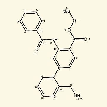 CC(C)(C)OOC(=O)c1ccc(-c2ccccc2CN)cc1NC(=O)c1ccccc1